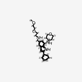 COCCOCCNCc1cc(NC2CCOCC2)c2[nH]c(-c3ccccc3)cc2c1